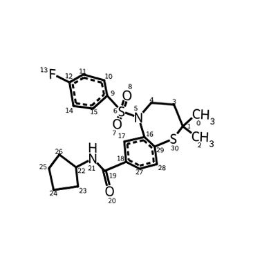 CC1(C)CCN(S(=O)(=O)c2ccc(F)cc2)c2cc(C(=O)NC3CCCC3)ccc2S1